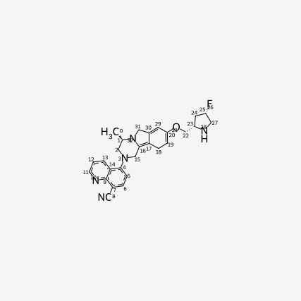 C[C@@H]1CN(c2ccc(C#N)c3ncccc23)CC2=C3CC=C(OC[C@@H]4C[C@H](F)CN4)C=C3CN21